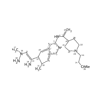 C=C(Nc1cc2c(cn1)=CC(C)C(/C(N)=C/N(C)N)C=2)C1CCN(CCOC)CC1